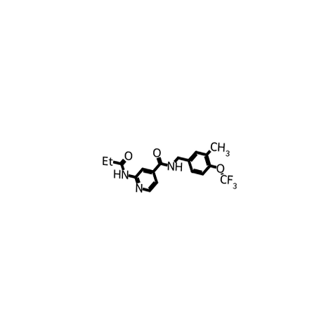 CCC(=O)Nc1cc(C(=O)NCc2ccc(OC(F)(F)F)c(C)c2)ccn1